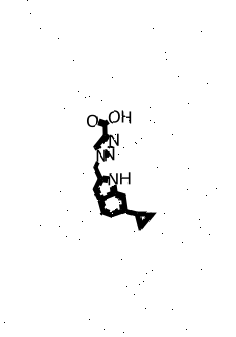 O=C(O)c1cn(Cc2cc3ccc(C4CC4)cc3[nH]2)nn1